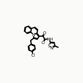 Cc1cc(NC(=O)C(=O)c2cc(Cc3ccc(Cl)cc3)n3c2ccc2ccccc23)sn1